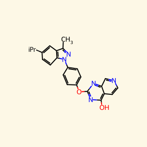 Cc1nn(-c2ccc(Oc3nc(O)c4ccncc4n3)cc2)c2ccc(C(C)C)cc12